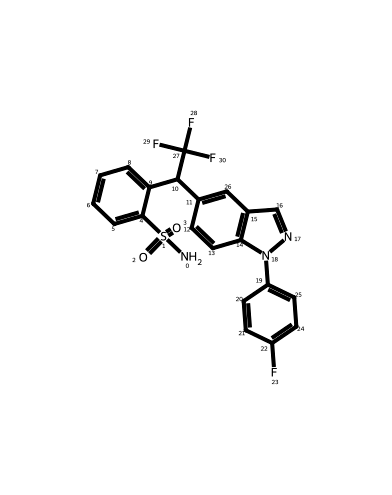 NS(=O)(=O)c1ccccc1C(c1ccc2c(cnn2-c2ccc(F)cc2)c1)C(F)(F)F